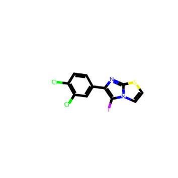 Clc1ccc(-c2nc3sccn3c2I)cc1Cl